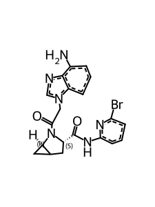 Nc1cccc2c1ncn2CC(=O)N1[C@@H]2CC2C[C@H]1C(=O)Nc1cccc(Br)n1